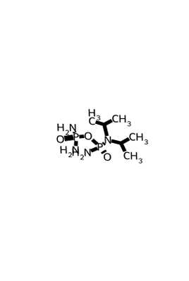 CC(C)N(C(C)C)P(N)(=O)OP(N)(N)=O